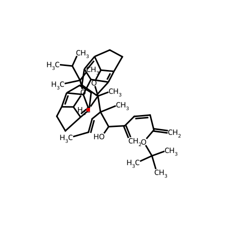 C=C(/C=C\C(=C)C(O)C(C)(C=CC)C(C)(C)OC1C2=C3CCC(=C1CC2)C3C1C2=C3CCC(=C1CC2)C3OC(C)(C)C(C)C)OC(C)(C)C